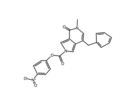 Cn1cc(Cc2ccccc2)c2cn(C(=O)Oc3ccc([N+](=O)[O-])cc3)cc2c1=O